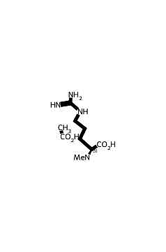 CC(=O)O.CN[C@@H](CCCNC(=N)N)C(=O)O